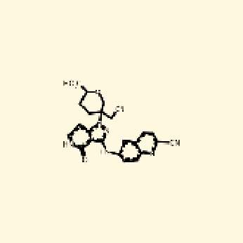 N#CCC1(n2nc(Nc3ccc4nc(C#N)ccc4c3)c3c(=O)[nH]ccc32)CCC(C(=O)O)OC1